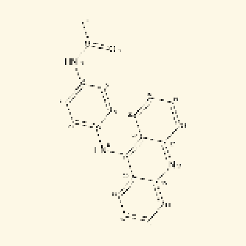 CC(=O)Nc1ccc(Nc2c3ccccc3nc3ccccc23)cc1